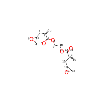 C=C(CC1CO1)C(=O)OCCOC(=O)C(=C)CC1CO1